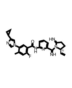 C=C[C@@H]1CCC(=N)N1C(=N)c1cccc(NC(=O)c2cc(-n3cnc(C4CC4)c3)c(C)cc2F)n1